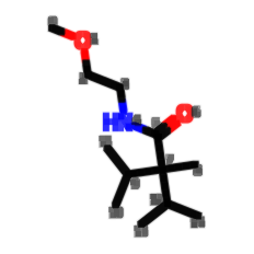 COCCNC(=O)C(C)(C(C)C)C(C)C